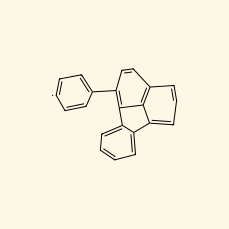 [c]1ccc(-c2ccc3cccc4c3c2-c2ccccc2-4)cc1